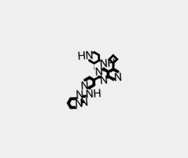 C[C@@H]1CNCC[C@@H]1Nc1nc(-c2ccnc(Nc3nc4ccccn4n3)c2)nc2cncc(C3CCC3)c12